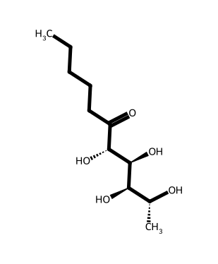 CCCCCC(=O)[C@@H](O)[C@@H](O)[C@H](O)[C@@H](C)O